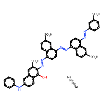 O=S(=O)(O)c1cccc(N=Nc2ccc(N=Nc3ccc(N=Nc4c(S(=O)(=O)O)cc5cc(Nc6ccccc6)ccc5c4O)c4ccc(S(=O)(=O)O)cc34)c3ccc(S(=O)(=O)O)cc23)c1.[Na].[Na].[Na].[Na]